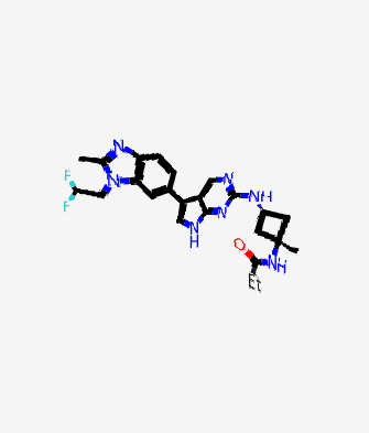 CCC(=O)N[C@]1(C)C[C@H](Nc2ncc3c(-c4ccc5nc(C)n(CC(F)F)c5c4)c[nH]c3n2)C1